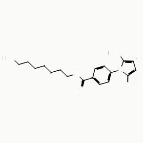 CCCCCCCCOC(=O)c1ccc(-n2c(C)ccc2C)cc1